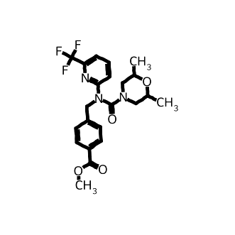 COC(=O)c1ccc(CN(C(=O)N2CC(C)OC(C)C2)c2cccc(C(F)(F)F)n2)cc1